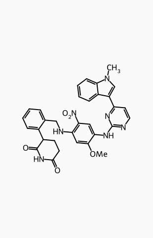 COc1cc(NCc2ccccc2C2CCC(=O)NC2=O)c([N+](=O)[O-])cc1Nc1nccc(-c2cn(C)c3ccccc23)n1